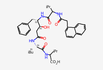 CC[C@H](C)[C@H](NC(=O)C[C@H](O)[C@H](Cc1ccccc1)NC(=O)C(NC(=O)Cc1cccc2ccccc12)C(C)C)C(=O)NC(C(=O)O)C(C)C